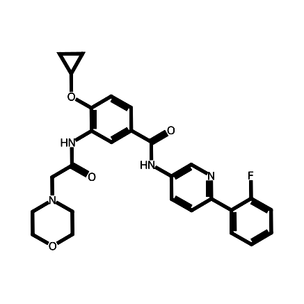 O=C(CN1CCOCC1)Nc1cc(C(=O)Nc2ccc(-c3ccccc3F)nc2)ccc1OC1CC1